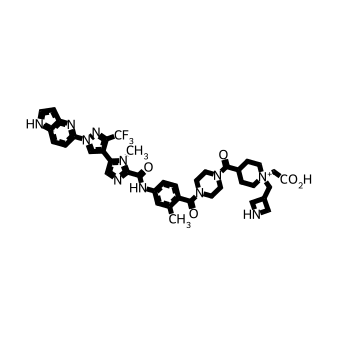 Cc1cc(NC(=O)c2ncc(-c3cn(-c4ccc5[nH]ccc5n4)nc3C(F)(F)F)n2C)ccc1C(=O)N1CCN(C(=O)C2CC[N+](CC(=O)O)(CC3CNC3)CC2)CC1